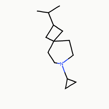 CC(C)C1CC2(CCN(C3CC3)CC2)C1